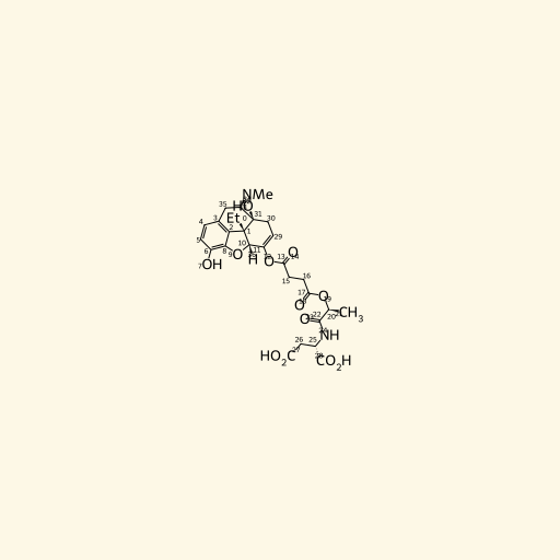 CC[C@]12c3c4ccc(O)c3O[C@H]1C(OC(=O)CCC(=O)O[C@@H](C)C(=O)N[C@@H](CC(=O)O)C(=O)O)=CC[C@@]2(O)[C@H](NC)C4